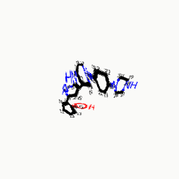 C[C@@H]1c2c([nH]c3nnc(-c4ccccc4O)cc23)CCN1C1CCC(N2CCNCC2)CC1